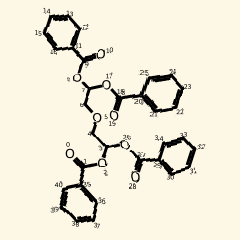 O=C(OC(COCC(OC(=O)c1ccccc1)OC(=O)c1ccccc1)OC(=O)c1ccccc1)c1ccccc1